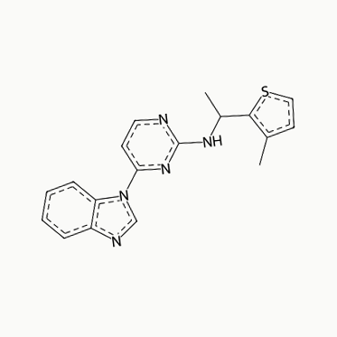 Cc1ccsc1C(C)Nc1nccc(-n2cnc3ccccc32)n1